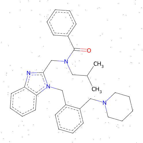 CC(C)CN(Cc1nc2ccccc2n1Cc1ccccc1CN1CCCCC1)C(=O)c1ccccc1